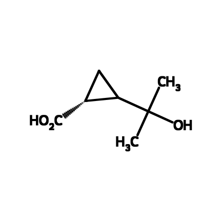 CC(C)(O)C1C[C@H]1C(=O)O